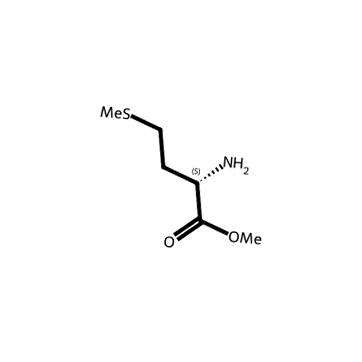 CSCC[C@H](N)C(=O)O[14CH3]